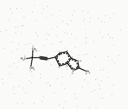 CC(C)(C)C#Cc1ccc2nc(N)sc2c1